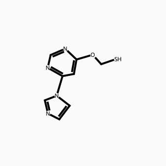 SCOc1cc(-n2ccnc2)ncn1